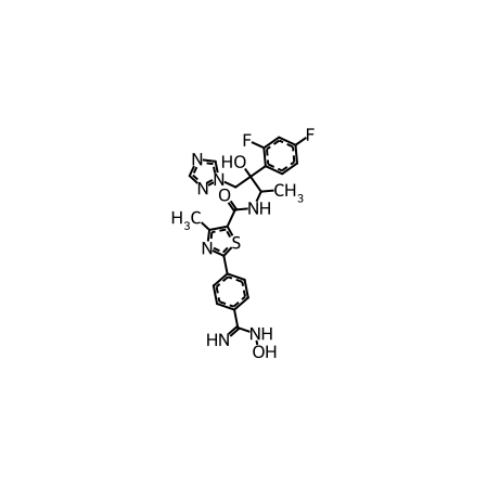 Cc1nc(-c2ccc(C(=N)NO)cc2)sc1C(=O)NC(C)C(O)(Cn1cncn1)c1ccc(F)cc1F